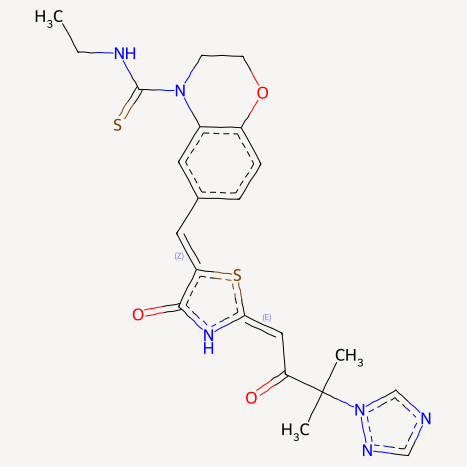 CCNC(=S)N1CCOc2ccc(/C=c3\s/c(=C/C(=O)C(C)(C)n4cncn4)[nH]c3=O)cc21